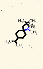 CC(C)C1CCC(CC(C)(C)C)(N(C)C)CC1